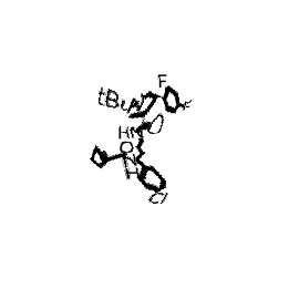 CC(C)(C)N1C[C@@H](C(=O)NCCCC(NC(=O)C2CCCC2)C2=CC=C(Cl)CC2)[C@H](C2C=CC(F)=CC2F)C1